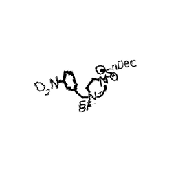 CCCCCCCCCCS(=O)(=O)N1CC[N+](CC)(Cc2cccc([N+](=O)[O-])c2)CC1.[Br-]